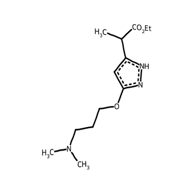 CCOC(=O)C(C)c1cc(OCCCN(C)C)n[nH]1